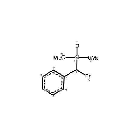 CCC(c1ccccc1)[Si]([O])(OC)OC